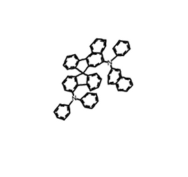 c1ccc(N(c2ccccc2)c2cccc3c2-c2ccccc2C32c3ccccc3-c3c2cc(N(c2ccccc2)c2ccc4ccccc4c2)c2ccccc32)cc1